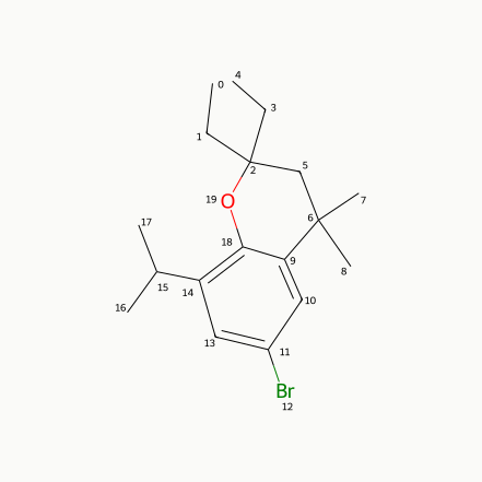 CCC1(CC)CC(C)(C)c2cc(Br)cc(C(C)C)c2O1